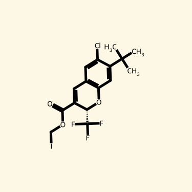 CC(C)(C)c1cc2c(cc1Cl)C=C(C(=O)OCI)[C@@H](C(F)(F)F)O2